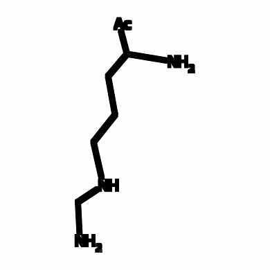 CC(=O)C(N)CCCNCN